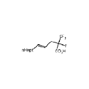 CCCCCCC/C=C/CC(F)(C(=O)O)C(F)(F)F